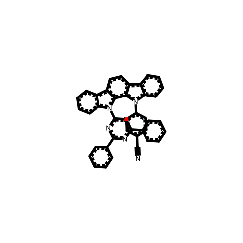 N#Cc1ccc(-n2c3ccccc3c3ccc4c5ccccc5n(-c5nc(-c6ccccc6)nc(-c6ccccc6)n5)c4c32)cc1